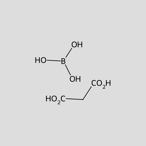 O=C(O)CC(=O)O.OB(O)O